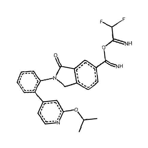 CC(C)Oc1cc(-c2ccccc2N2Cc3ccc(C(=N)OC(=N)C(F)F)cc3C2=O)ccn1